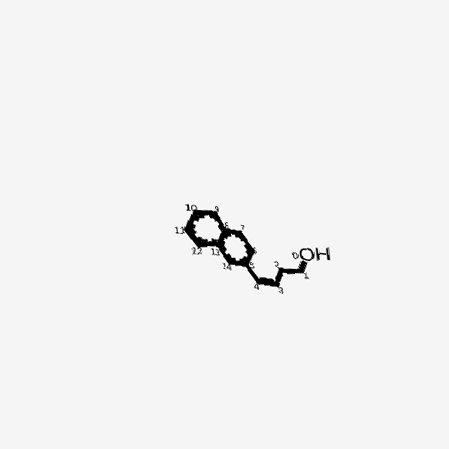 OCC/C=C\c1ccc2ccccc2c1